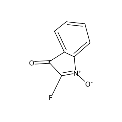 O=C1C(F)=[N+]([O-])c2ccccc21